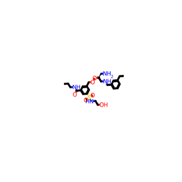 CCCNC(=O)c1cc(COO[C@@H](CN)CNCc2cccc(CC)c2)cc(S(=O)(=O)NCCO)c1